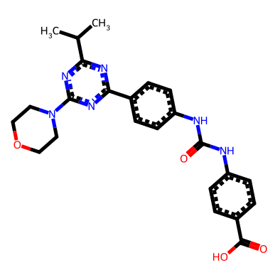 CC(C)c1nc(-c2ccc(NC(=O)Nc3ccc(C(=O)O)cc3)cc2)nc(N2CCOCC2)n1